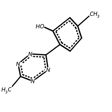 Cc1ccc(-c2nnc(C)nn2)c(O)c1